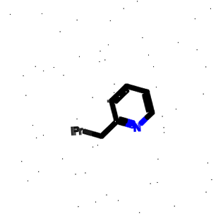 CC(C)Cc1[c]cccn1